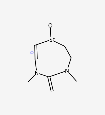 C=C1N(C)/C=C\[S+]([O-])CCN1C